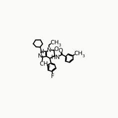 CCN1C(=O)[C@H](NC(=O)c2cccc(C)c2)C(c2ccc(F)cc2)c2c(C)nn(C3CCCCC3)c21